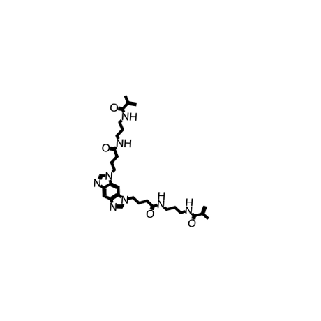 C=C(C)C(=O)NCCCNC(=O)CCCn1cnc2cc3ncn(CCCC(=O)NCCCNC(=O)C(=C)C)c3cc21